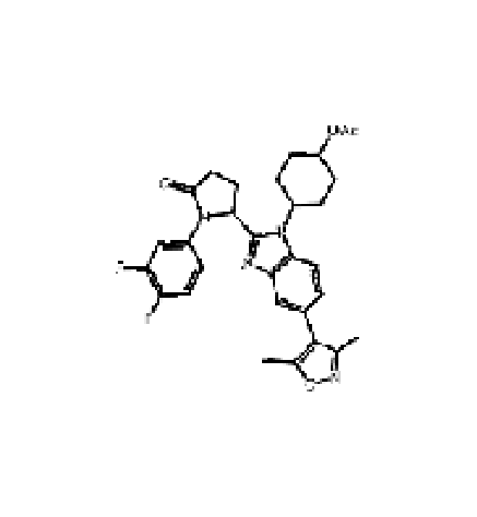 CC(=O)OC1CCC(n2c([C@@H]3CCC(=O)N3c3ccc(F)c(F)c3)nc3cc(-c4c(C)noc4C)ccc32)CC1